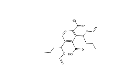 C=COC(CCC)c1ccc(C(=O)O)c(C(CCC)OC=C)c1C(=O)O